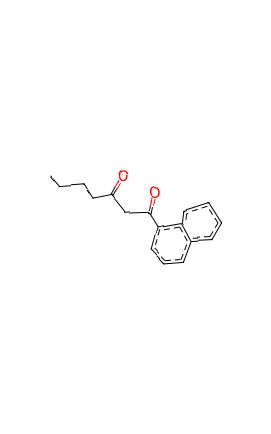 CCCCC(=O)CC(=O)c1cccc2ccccc12